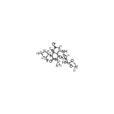 Cc1c(NC23CC(NC(=O)OC(C)(C)C)(C2)C3)c2c(=O)n(C3CC3)c(=O)n(-c3ccc(I)cc3F)c2n(C)c1=O